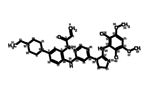 C=CC(=O)Nc1cc(N2CCN(CC)CC2)ccc1Nc1cc(N2CCN=C2Nc2c(Cl)c(OC)cc(OC)c2Cl)ncn1